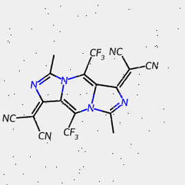 Cc1nc(=C(C#N)C#N)c2c(C(F)(F)F)n3c(C)nc(=C(C#N)C#N)c3c(C(F)(F)F)n12